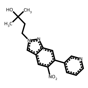 CC(C)(O)CCn1cc2cc([N+](=O)[O-])c(-c3cccnc3)cc2n1